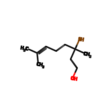 CC(C)=CCCC(C)(S)CCO